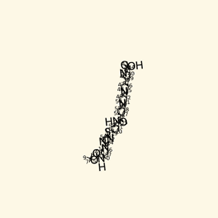 CC1(NC(=O)OC(C)(C)C)C=CN(c2cnc(Sc3cccc(NC(=O)c4ccc(N5CCC(N6CC=C(c7ccc(C(=O)O)nc7)CC6)CC5)cc4)c3)cn2)C=C1